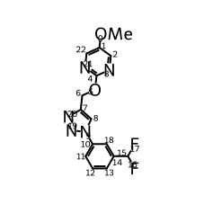 COc1cnc(OCc2cn(-c3cccc(C(F)F)c3)nn2)nc1